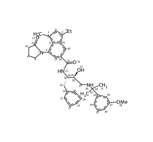 CCc1cn(C)c2c(N3CCCC3=O)cc(C(=O)N[C@@H](Cc3ccccc3)[C@@H](O)CNC(C)(C)c3cccc(OC)c3)cc12